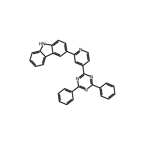 c1ccc(-c2nc(-c3ccccc3)nc(-c3ccnc(-c4ccc5[nH]c6ccccc6c5c4)c3)n2)cc1